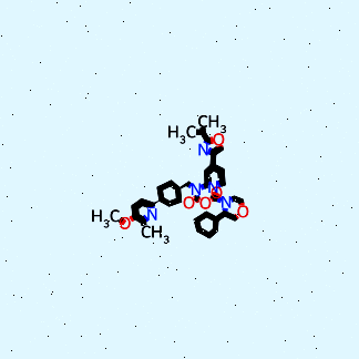 COc1ccc([C@H]2CC[C@H](CN(C(=O)OC(=O)N3CCOCC3C3CCCCC3)c3cc(-c4coc(C(C)C)n4)ccn3)CC2)nc1C